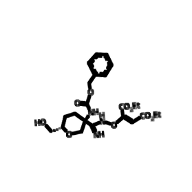 CCOC(=O)/C=C(/ONC(=N)[C@@]1(NC(=O)OCc2ccccc2)CC[C@@H](CO)OC1)C(=O)OCC